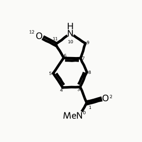 CNC(=O)c1ccc2c(c1)CNC2=O